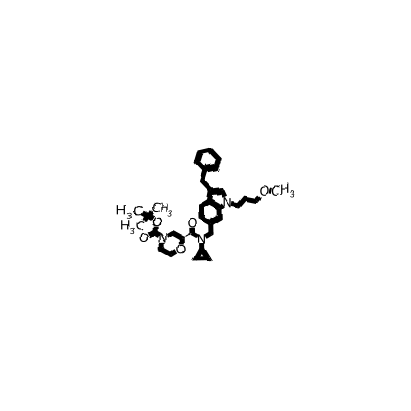 COCCCn1cc(Cc2ccccc2)c2ccc(CN(C(=O)[C@H]3CN(C(=O)OC(C)(C)C)CCO3)C3CC3)cc21